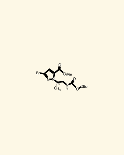 COC(=O)c1cc(Br)nn1[C@@H](C)CNC(=O)OC(C)(C)C